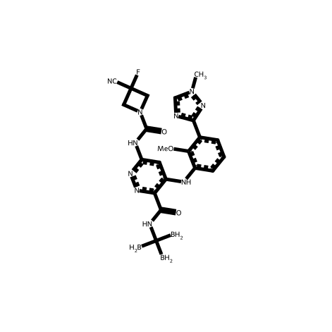 BC(B)(B)NC(=O)c1nnc(NC(=O)N2CC(F)(C#N)C2)cc1Nc1cccc(-c2ncn(C)n2)c1OC